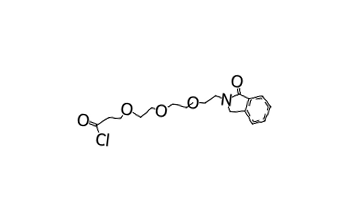 O=C(Cl)CCOCCOCCOCCN1Cc2ccccc2C1=O